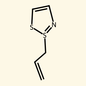 C=CCS1=NC=CS1